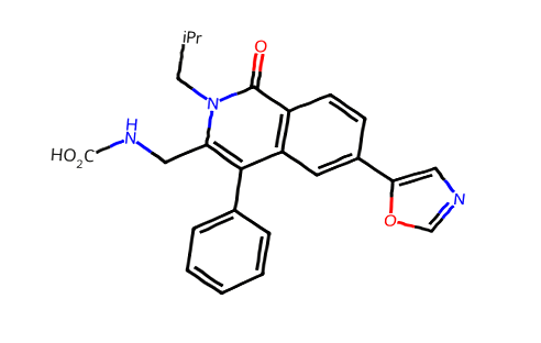 CC(C)Cn1c(CNC(=O)O)c(-c2ccccc2)c2cc(-c3cnco3)ccc2c1=O